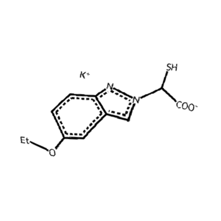 CCOc1ccc2nn(C(S)C(=O)[O-])cc2c1.[K+]